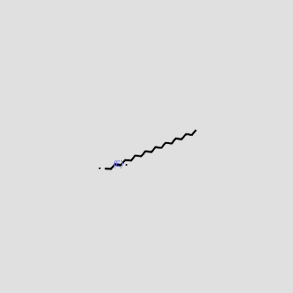 [CH2]C/C=[C]/CCCCCCCCCCCCCCC